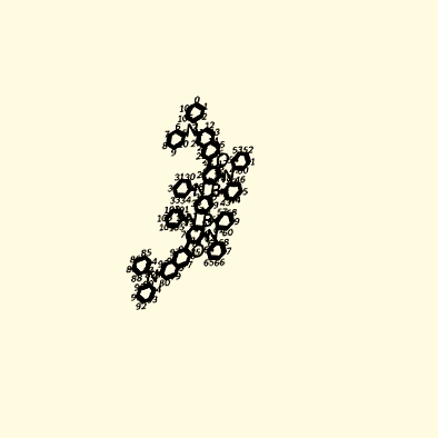 c1ccc(N(c2ccccc2)c2ccc3cc4oc5c6c7c(cc5c4cc3c2)N(c2ccccc2)c2cc3c(cc2B7c2ccccc2N6c2ccccc2)B2c4ccccc4N(c4ccccc4)c4c2c(cc2c4oc4cc5ccc(N(c6ccccc6)c6ccccc6)cc5cc42)N3c2ccccc2)cc1